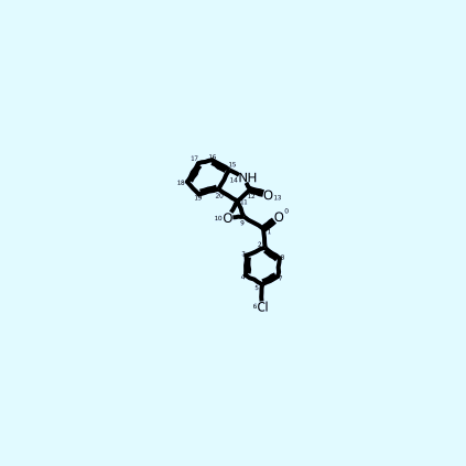 O=C(c1ccc(Cl)cc1)C1OC12C(=O)Nc1ccccc12